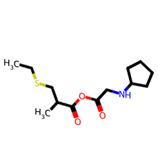 CCSCC(C)C(=O)OC(=O)CNC1CCCC1